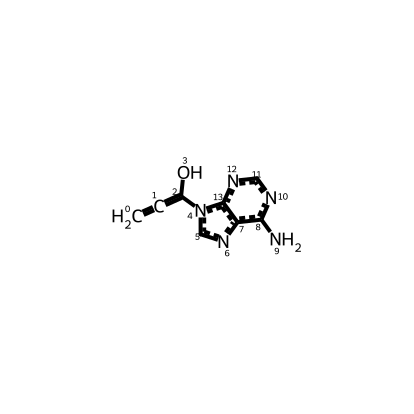 C=C=C(O)n1cnc2c(N)ncnc21